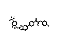 Cc1cc(S(C)(=O)=O)ccc1Nc1nc2ccc(-c3ccc(NC(=O)Cc4ccc(F)cc4)cc3)cn2n1